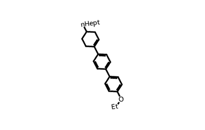 CCCCCCCC1CC=C(c2ccc(-c3ccc(OCC)cc3)cc2)CC1